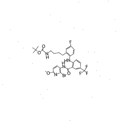 COc1ccc(NC(=O)c2cc(C(F)(F)F)ccc2Nc2ccc(F)cc2CCCCNC(=O)OC(C)(C)C)c(Br)n1